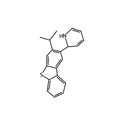 CC(C)c1cc2sc3ccccc3c2cc1C1C=CC=CN1